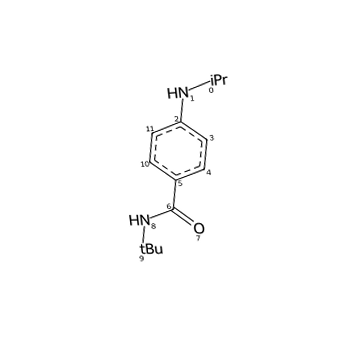 CC(C)Nc1ccc(C(=O)NC(C)(C)C)cc1